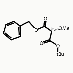 CO[C@@H](C(=O)OCc1ccccc1)C(=O)OC(C)(C)C